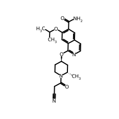 CC(C)Oc1cc2c(O[C@@H]3CCN(C(=O)CC#N)[C@@H](C)C3)nccc2cc1C(N)=O